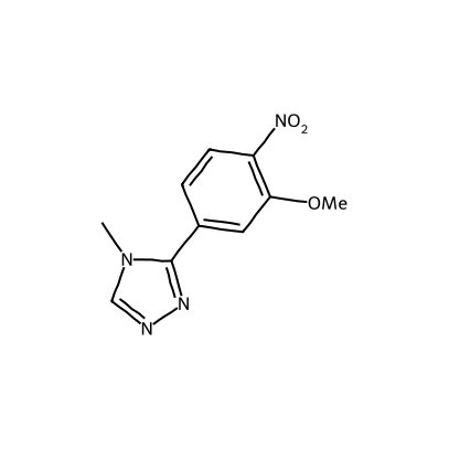 COc1cc(-c2nncn2C)ccc1[N+](=O)[O-]